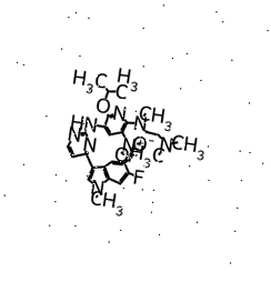 CC(C)Oc1nc(N(C)CCN(C)C)c([N+](=O)[O-])cc1Nc1nccc(-c2cn(C)c3cc(F)c(F)cc23)n1